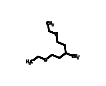 [CH2]C(CCOCC)CCOCC